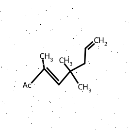 C=CCC(C)(C)/C=C(\C)C(C)=O